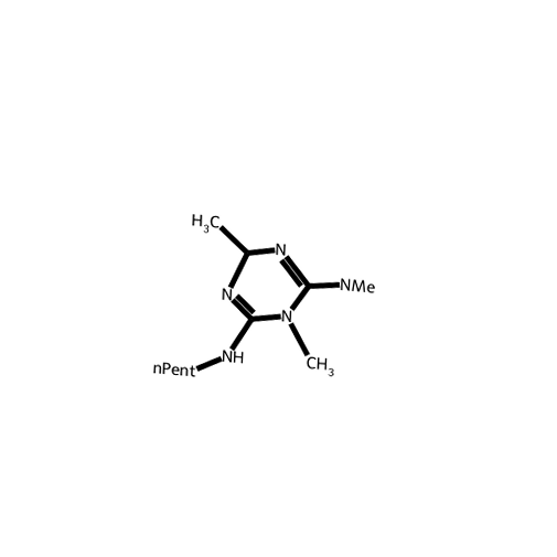 CCCCCNC1=NC(C)N=C(NC)N1C